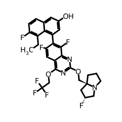 CCc1c(F)ccc2cc(O)cc(-c3c(F)cc4c(OCC(F)(F)F)nc(OC[C@@]56CCCN5C[C@H](F)C6)nc4c3F)c12